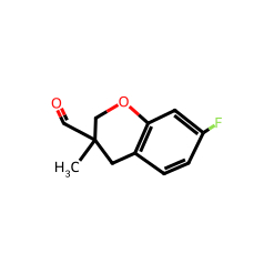 CC1(C=O)COc2cc(F)ccc2C1